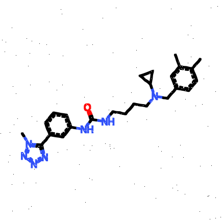 Cc1ccc(CN(CCCCNC(=O)Nc2cccc(-c3nnnn3C)c2)C2CC2)cc1C